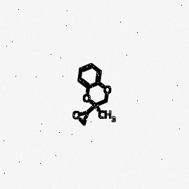 CC1(C2CO2)COc2ccccc2O1